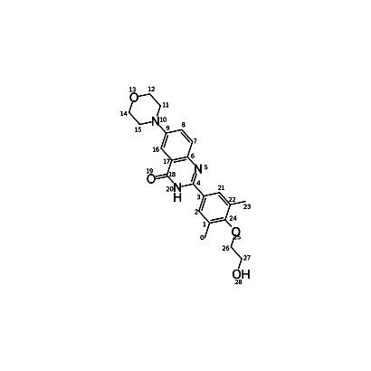 Cc1cc(-c2nc3ccc(N4CCOCC4)cc3c(=O)[nH]2)cc(C)c1OCCO